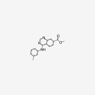 COC(=O)c1ccc2c(Nc3cccc(C)c3)ncnc2c1